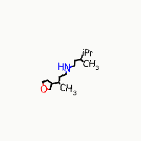 CC(C)C(C)CCNCCC(C)C1CCOC1